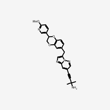 COc1ccc(C2COc3cc(Cc4cnc5cc(C#CC(C)(C)N)cnn45)ccc3O2)cn1